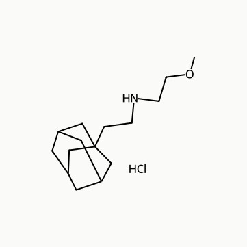 COCCNCCC12CC3CC(CC(C3)C1)C2.Cl